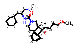 CNCC(CC1CCCCC1)NC(=O)N1CCC[C@@](C)([C@@](O)(CCCCOC)c2ccccc2)C1